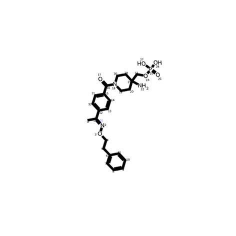 C/C(=N\OCCc1ccccc1)c1ccc(C(=O)N2CCC(N)(COP(=O)(O)O)CC2)cc1